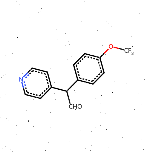 O=CC(c1ccncc1)c1ccc(OC(F)(F)F)cc1